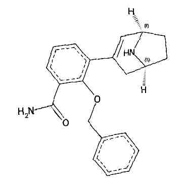 NC(=O)c1cccc(C2=C[C@H]3CC[C@@H](C2)N3)c1OCc1ccccc1